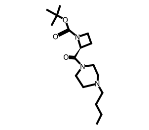 CCCCN1CCN(C(=O)[C@@H]2CCN2C(=O)OC(C)(C)C)CC1